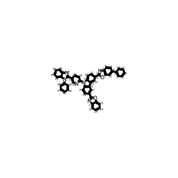 c1ccc(-c2ccc3nc(-c4ccc5c(c4)c4cc(-c6nc7ccccc7o6)ccc4n5-c4ccc(-c5nc6ccccc6n5-c5ccccc5)cn4)oc3c2)cc1